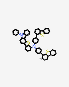 C[C@H]1CC=C2C(=C1c1ccc(N(c3ccc(-c4cccc5c4sc4ccccc45)cc3)c3cccc4c3sc3c4ccc4c3c3ccccc3n4-c3ccccc3)cc1)SC1C=CC=CC21